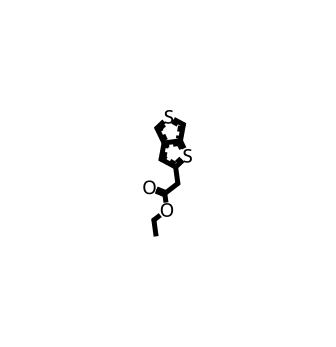 CCOC(=O)Cc1cc2cscc2s1